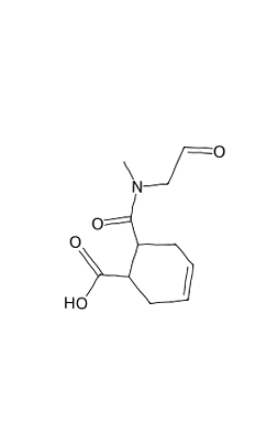 CN(CC=O)C(=O)C1CC=CCC1C(=O)O